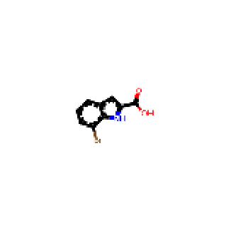 O=C(O)c1cc2cccc(Br)c2[nH]1